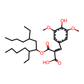 CCCCC(CC)CC(OC(=O)C(=Cc1cc(OC)c(O)c(OC)c1)C(=O)O)C(CC)CCCC